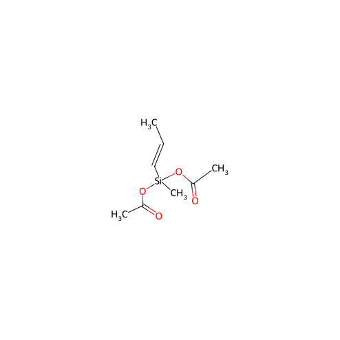 CC=C[Si](C)(OC(C)=O)OC(C)=O